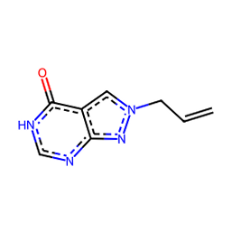 C=CCn1cc2c(=O)[nH]cnc2n1